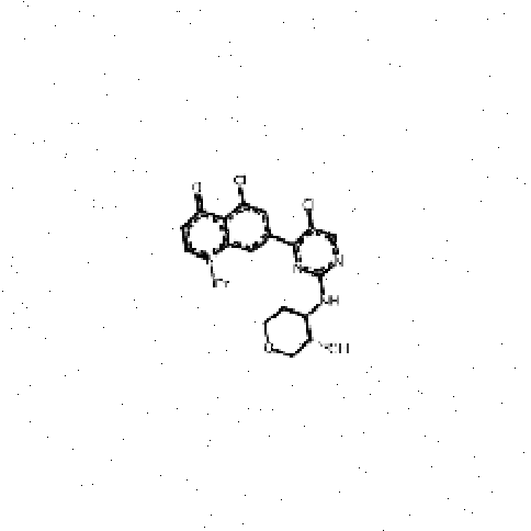 CC(C)n1ccc(=O)c2c(Cl)cc(-c3nc(N[C@@H]4CCOC[C@H]4O)ncc3Cl)cc21